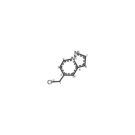 ClCc1ccn2nccc2c1